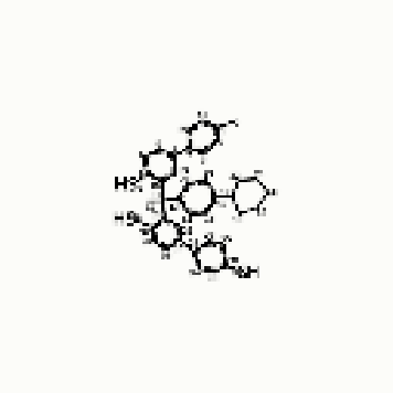 Cc1ccc(-c2ccc(S)c(C(C)(c3ccc(C4CCCCC4)cc3)c3cc(-c4ccc(S)cc4)ccc3S)c2)cc1